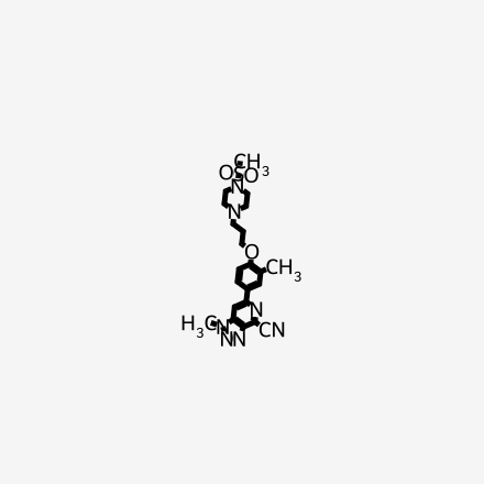 Cc1cc(-c2cc3c(nnn3C)c(C#N)n2)ccc1OCCCN1CCN(S(C)(=O)=O)CC1